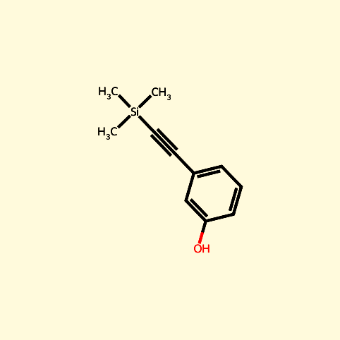 C[Si](C)(C)C#Cc1cccc(O)c1